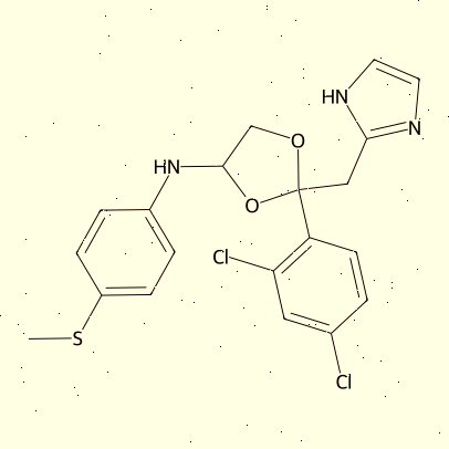 CSc1ccc(NC2COC(Cc3ncc[nH]3)(c3ccc(Cl)cc3Cl)O2)cc1